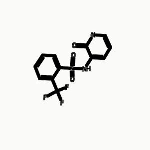 O=C1[N]C=CC=C1NS(=O)(=O)c1ccccc1C(F)(F)F